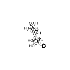 CC(=O)N(C)[C@H]1[C@@H](OCc2ccccc2)O[C@H](CO)[C@@H](O)[C@@H]1OCC(=O)NC(C)C(=O)NC(CCC(=O)O)C(N)=O